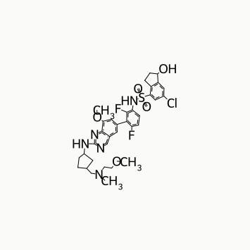 COCCN(C)CC1CCC(Nc2ncc3cc(-c4c(F)ccc(NS(=O)(=O)c5cc(Cl)cc6c5CCC6O)c4F)cc(OC)c3n2)C1